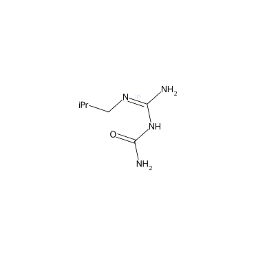 CC(C)C/N=C(/N)NC(N)=O